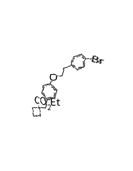 CCOC(=O)C1(Cc2ccc(OCCc3ccc(Br)cc3)cc2)CCC1